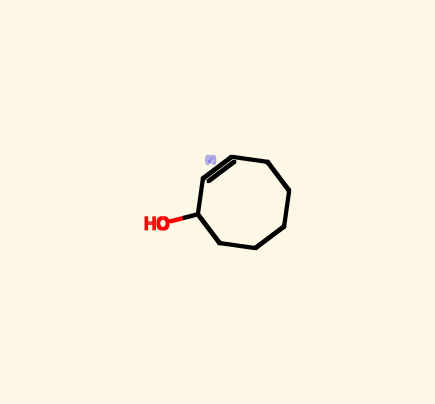 OC1/C=C\CCCCC1